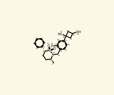 C[C@H]1CC[C@H](c2ccccc2)S(=O)(=O)N1Cc1ccc(C2(C#N)CC(O)C2)cc1F